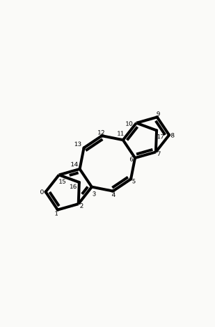 C1=CC2=C3/C=C\C4=C5C=CC(=C4/C=C\C3=C1C2)C5